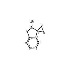 BrN1Cc2ccccc2C12CC2